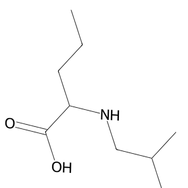 CCCC(NCC(C)C)C(=O)O